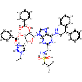 CCn1cc([C@H]2O[C@@H](n3cnc4c(NCC(c5ccccc5)c5ccccc5)nc(CNS(=O)(=O)CC(C)C)nc43)[C@H](OC(=O)c3ccccc3)[C@@H]2OC(=O)c2ccccc2)nn1